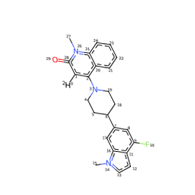 [2H]c1c(N2CCC(c3cc(F)c4ccn(C)c4c3)CC2)c2ccccc2n(C)c1=O